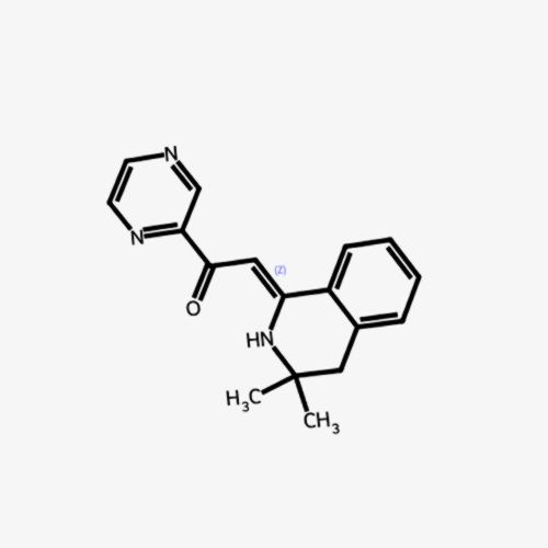 CC1(C)Cc2ccccc2/C(=C/C(=O)c2cnccn2)N1